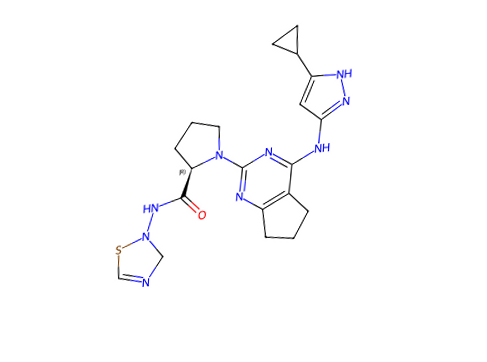 O=C(NN1CN=CS1)[C@H]1CCCN1c1nc2c(c(Nc3cc(C4CC4)[nH]n3)n1)CCC2